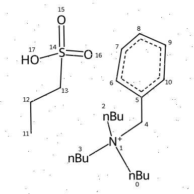 CCCC[N+](CCCC)(CCCC)Cc1ccccc1.CCCS(=O)(=O)O